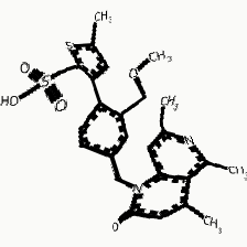 COCc1cc(Cn2c(=O)cc(C)c3c(C)nc(C)cc32)ccc1-c1cc(C)sc1S(=O)(=O)O